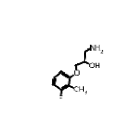 Cc1c(F)cccc1OCC(O)CN